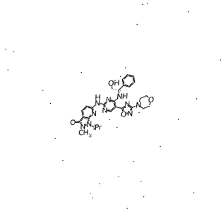 CC(C)n1c2nc(Nc3ncc(-c4nc(N5CCOCC5)no4)c(N[C@H](CO)c4ccccc4)n3)ccc2c(=O)n1C